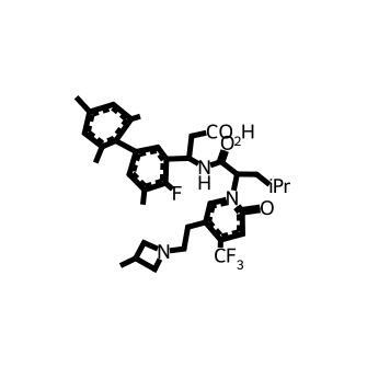 Cc1cc(C)c(-c2cc(C)c(F)c(C(CC(=O)O)NC(=O)C(CC(C)C)n3cc(CCN4CC(C)C4)c(C(F)(F)F)cc3=O)c2)c(C)c1